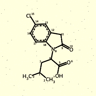 CC(C)CC(C(=O)O)N1C(=O)Cc2cc(Cl)ccc21